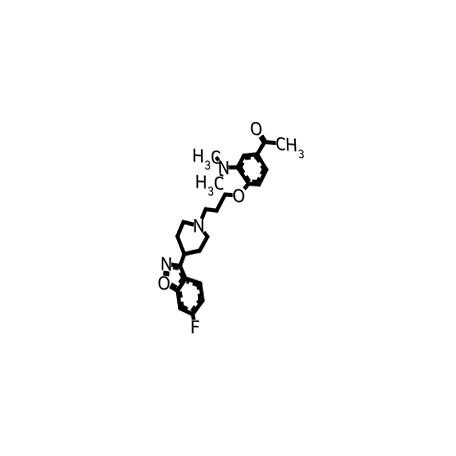 CC(=O)c1ccc(OCCCN2CCC(c3noc4cc(F)ccc34)CC2)c(N(C)C)c1